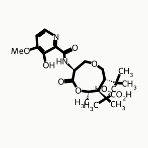 COc1ccnc(C(=O)N[C@H]2COC[C@H](C(C)(C)C(=O)O)[C@@H](C(C)(C)C(=O)O)[C@H](C)OC2=O)c1O